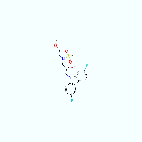 COCCN(CC(O)Cn1c2ccc(F)cc2c2ccc(F)cc21)S(C)(=O)=O